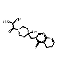 CC(C)C(=O)N1CCC(O)(Cn2cnc3c(c2=O)CCC=C3)CC1